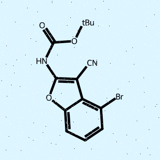 CC(C)(C)OC(=O)Nc1oc2cccc(Br)c2c1C#N